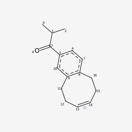 CC(C)C(=O)c1ccc2c(c1)CC/C=C\CC2